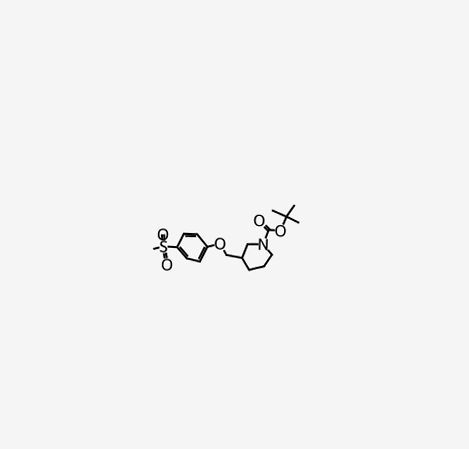 CC(C)(C)OC(=O)N1CCCC(COc2ccc(S(C)(=O)=O)cc2)C1